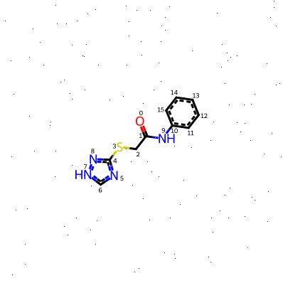 O=C(CSc1nc[nH]n1)Nc1ccccc1